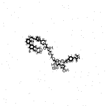 Cc1ncsc1-c1ccc(CNC(=O)[C@@H]2C[C@@H](O)CN2C(=O)[C@@H](NC(=O)COCCOCCNC(=O)CN2CCC(n3cc(-c4cnc5cccc(-c6cc(F)c(CN7CCOCC7)c(F)c6)c5n4)cn3)CC2)C(C)(C)C)cc1